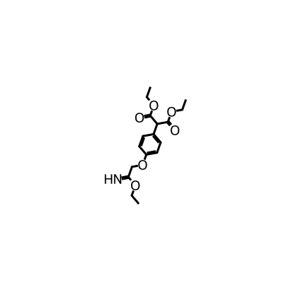 CCOC(=N)COc1ccc(C(C(=O)OCC)C(=O)OCC)cc1